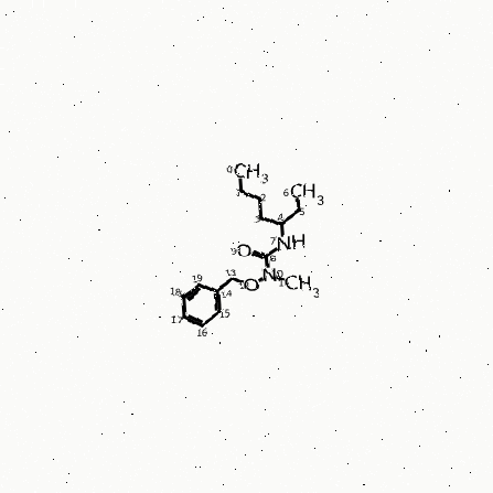 CCCCC(CC)NC(=O)N(C)OCc1ccccc1